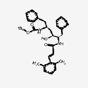 Cc1cccc(C)c1C=CC(=O)N[C@@H](Cc1ccccc1)[C@@H](O)C[C@H](Cc1ccccc1)NC(=O)OC(C)(C)C